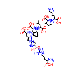 CC(C)CC(N)C(=O)O.CCC(C)C(N)C(=O)O.N=C(N)NCCCC(N)C(=O)O.NC(Cc1c[nH]cn1)C(=O)O.NC(Cc1ccccc1)C(=O)O.NCCCCC(N)C(=O)O.O=C(O)[C@@H]1CCCN1